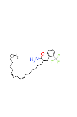 CCCCC/C=C\C/C=C\CCCCCCC(Cc1ccccc1C(F)(F)F)C(N)=O